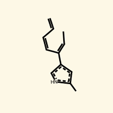 C=C/C=C\C(=C/C)c1c[nH]c(C)c1